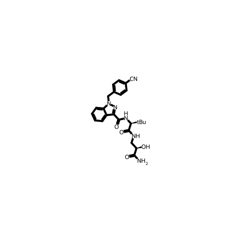 CC(C)(C)[C@H](NC(=O)c1nn(Cc2ccc(C#N)cc2)c2ccccc12)C(=O)NC[C@@H](O)C(N)=O